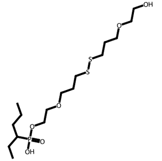 CCCC(CC)P(=O)(O)OCCOCCCSSCCCOCCO